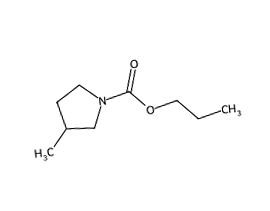 CCCOC(=O)N1CCC(C)C1